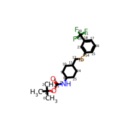 CC(C)(C)OC(=O)NC1CCC(CSc2cccc(C(F)(F)F)c2)CC1